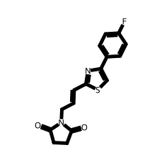 O=C1CCC(=O)N1C/C=C/c1nc(-c2ccc(F)cc2)cs1